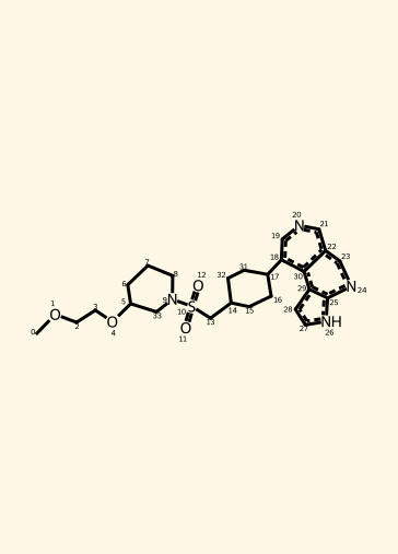 COCCOC1CCCN(S(=O)(=O)CC2CCC(c3cncc4cnc5[nH]ccc5c34)CC2)C1